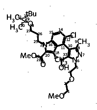 COCCOCCn1nc(C)c(-c2c(Cl)ccc3c2c(C)c(C(=O)OC)n3CCCO[Si](C)(C)C(C)(C)C)c1CO